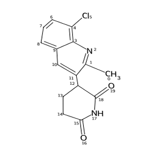 Cc1nc2c(Cl)cccc2cc1C1CCC(=O)NC1=O